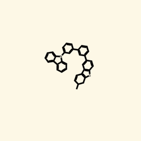 CC1C=Cc2c(sc3ccc(-c4cccc(-c5cccc(-n6c7ccccc7c7ccccc76)c5)c4)cc23)C1